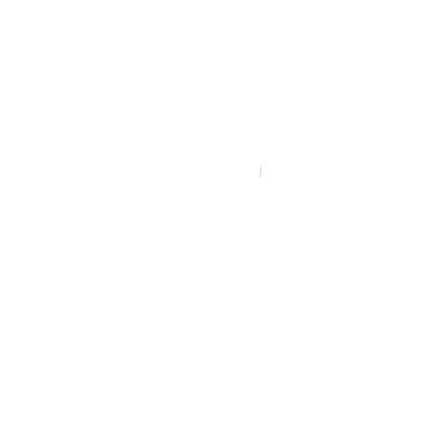 CCCCCc1ccc(CCCCC(F)CC(c2ccccc2)c2ccccc2)c(F)c1